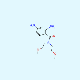 COCCN(CCOC)C(=O)c1ccc(N)cc1N